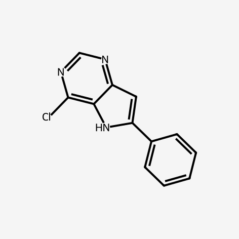 Clc1ncnc2cc(-c3ccccc3)[nH]c12